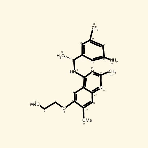 COCCOc1cc2c(N[C@H](C)c3cc(N)cc(C(F)(F)F)c3)nc(C)nc2cc1OC